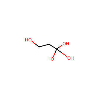 OCCC(O)(O)O